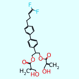 C=C(CO)C(=O)OCC(COC(=O)C(=C)CO)c1ccc(-c2ccc(CCC=C(F)F)cc2)cc1